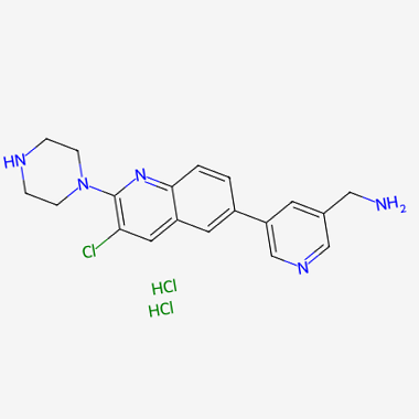 Cl.Cl.NCc1cncc(-c2ccc3nc(N4CCNCC4)c(Cl)cc3c2)c1